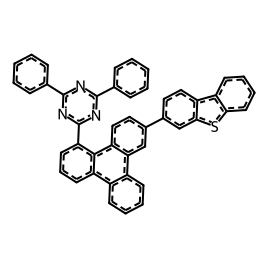 c1ccc(-c2nc(-c3ccccc3)nc(-c3cccc4c5ccccc5c5cc(-c6ccc7c(c6)sc6ccccc67)ccc5c34)n2)cc1